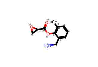 Cc1cccc(CN)c1OC(=O)C1CO1